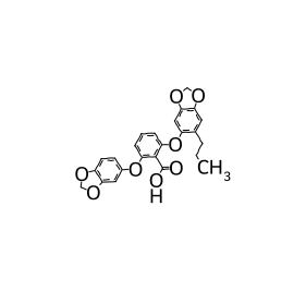 CCCc1cc2c(cc1Oc1cccc(Oc3ccc4c(c3)OCO4)c1C(=O)O)OCO2